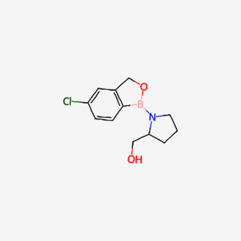 OCC1CCCN1B1OCc2cc(Cl)ccc21